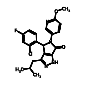 COc1ccc(N2C(=O)c3[nH]nc(CC(C)C)c3C2c2ccc(F)cc2Cl)cn1